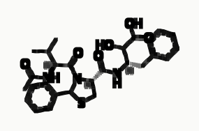 CC(=O)N[C@H](C(=O)N1C(c2ccccc2)SC[C@H]1C(=O)N[C@@H](Cc1ccccc1)C(O)C(=O)O)C(C)C